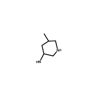 CC1CNCC([NH])C1